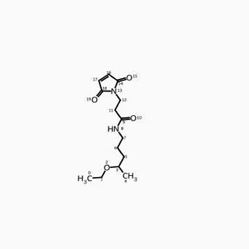 CCOC(C)CCCNC(=O)CCN1C(=O)C=CC1=O